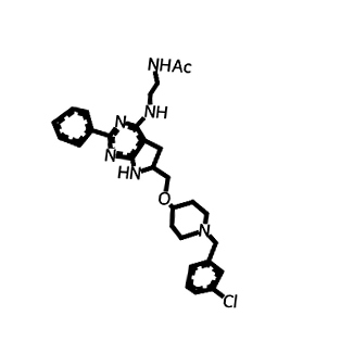 CC(=O)NCCNc1nc(-c2ccccc2)nc2c1CC(COC1CCN(Cc3cccc(Cl)c3)CC1)N2